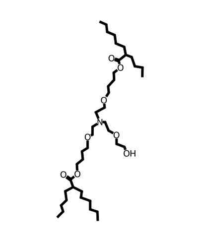 CCCCCCC(CCCC)C(=O)OCCCCOCCN(CCOCCO)CCOCCCCOC(=O)C(CCCCC)CCCCCC